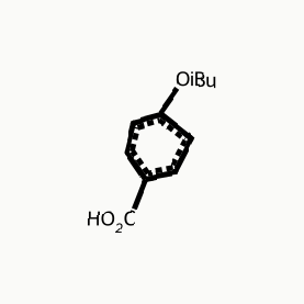 [CH]C(C)COc1ccc(C(=O)O)cc1